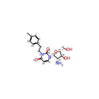 Cc1ccc(CCn2c(=O)ccn([C@@H]3O[C@H](CO)C(O)[C@@H]3N)c2=O)cc1